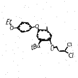 CCOc1ccc(Oc2cc(C(C)(C)C)c(OCC=C(Cl)Cl)cc2C)cc1